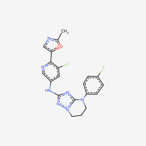 Cc1ncc(-c2ncc(Nc3nc4n(n3)CCCN4c3ccc(F)cc3)cc2F)o1